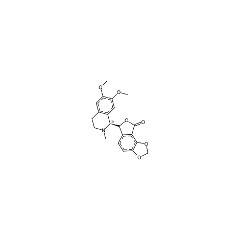 COc1cc2c(cc1OC)[C@@H](C1OC(=O)c3c1ccc1c3OCO1)N(C)CC2